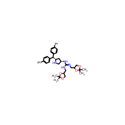 CC(C)c1ccc(C(c2ccc(C(C)C)cc2)[C@H]2C[C@@H](N/C(=N/CC3COC(C)(C)O3)NCC3COC(C)(C)O3)CN2)cc1